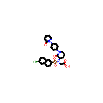 O=C(O)CN(C1CCCN(c2ccc(-n3ccccc3=O)cc2)C1=O)S(=O)(=O)c1ccc2cc(Cl)ccc2c1